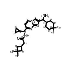 NC(c1cn2ccc([C@H](NC(=O)CC3CC(F)(F)C3)C3CC3)nc2n1)C1CCC(F)(F)CC1